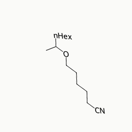 CCCCCCC(C)OCCCCCC#N